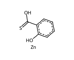 OC(=S)c1ccccc1O.[Zn]